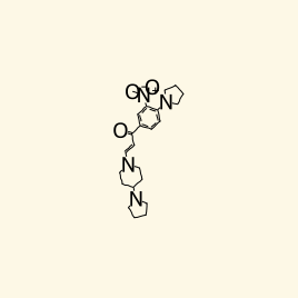 O=C(C=CN1CCC(N2CCCC2)CC1)c1ccc(N2CCCC2)c([N+](=O)[O-])c1